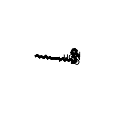 CCCCCCCCCCCCCCCCCCN(C)C(=O)c1nnc2ccccc2c1O